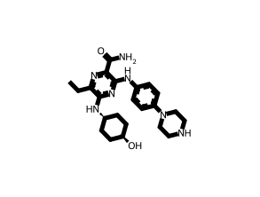 CCc1nc(C(N)=O)c(Nc2ccc(N3CCNCC3)cc2)nc1N[C@H]1CC[C@H](O)CC1